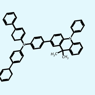 CC1(C)c2ccccc2N(c2ccccc2)c2ccc(-c3ccc(N(C4=CC=C(c5ccccc5)CC4)c4ccc(C5C=CC=CC5)cc4)cc3)cc21